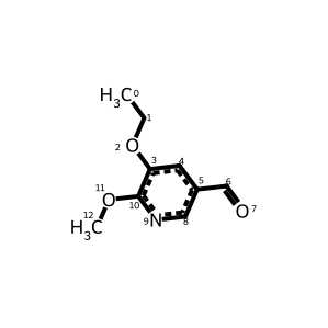 CCOc1cc(C=O)cnc1OC